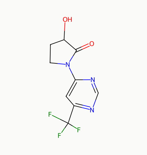 O=C1C(O)CCN1c1cc(C(F)(F)F)ncn1